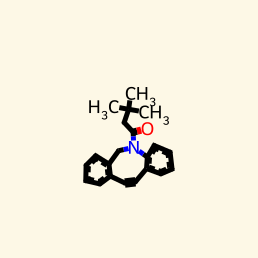 CC(C)(C)CC(=O)N1Cc2ccccc2C#Cc2ccccc21